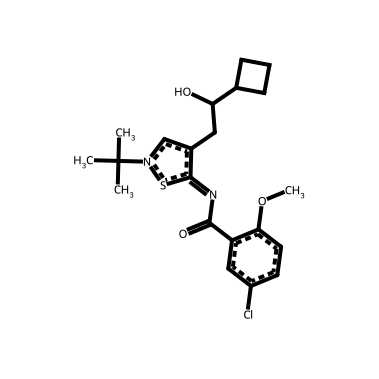 COc1ccc(Cl)cc1C(=O)N=c1sn(C(C)(C)C)cc1CC(O)C1CCC1